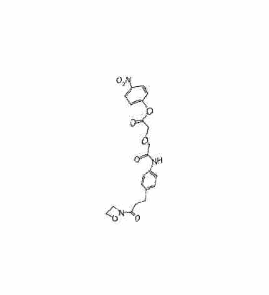 O=C(COCC(=O)Oc1ccc([N+](=O)[O-])cc1)Nc1ccc(CCC(=O)N2CCO2)cc1